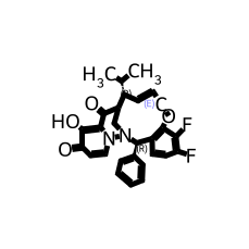 CC(C)[C@@H]1/C=C/COc2c(ccc(F)c2F)[C@@H](c2ccccc2)N2CC1C(=O)c1c(O)c(=O)ccn12